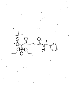 CCOP(=O)(OCC)[C@@H](O[Si](C)(C)C(C)(C)C)C(=O)CCCC(=O)N[C@@H](C)c1ccccc1